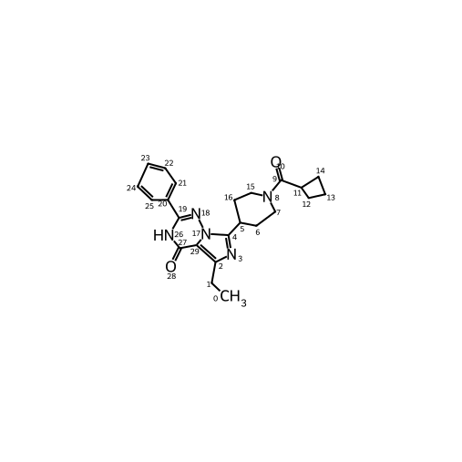 CCc1nc(C2CCN(C(=O)C3CCC3)CC2)n2nc(-c3ccccc3)[nH]c(=O)c12